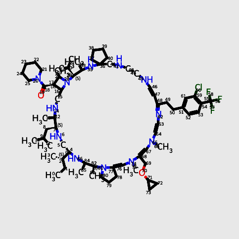 CC[C@H](C)[C@H]1CN[C@@H](CC(C)C)C(C)NCC2[C@@H](C(=O)N3CCCCC3)C(C)N2[C@@H](C(C)C)C(C)NC2(CCCC2)CNCCNC=CC(CCc2ccc(C(F)(F)F)c(Cl)c2)=NC=CN(C)C=C(COC2CC2)N(C)C=C2CCCN2[C@@H](C)C(C)N1